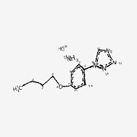 CCCCOc1ccc(-n2cnnn2)cc1.Cl.N